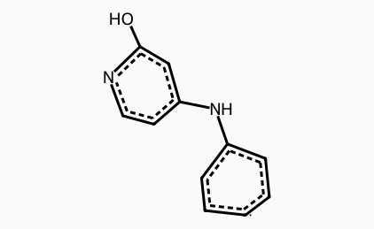 Oc1cc(Nc2cc[c]cc2)ccn1